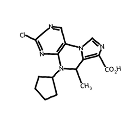 CC1c2c(C(=O)O)ncn2-c2cnc(Cl)nc2N1C1CCCC1